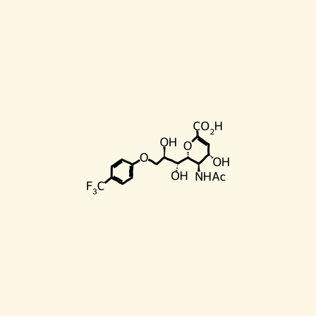 CC(=O)N[C@H]1[C@H]([C@H](O)[C@H](O)COc2ccc(C(F)(F)F)cc2)OC(C(=O)O)=C[C@@H]1O